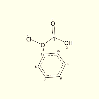 O=C(O)OCl.c1ccccc1